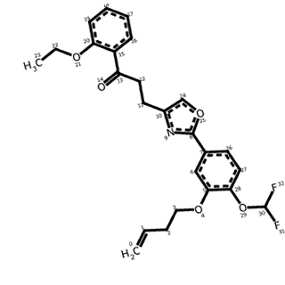 C=CCCOc1cc(-c2nc(CCC(=O)c3ccccc3OCC)co2)ccc1OC(F)F